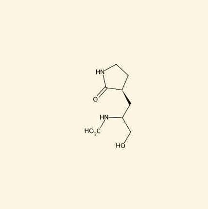 O=C(O)NC(CO)C[C@@H]1CCNC1=O